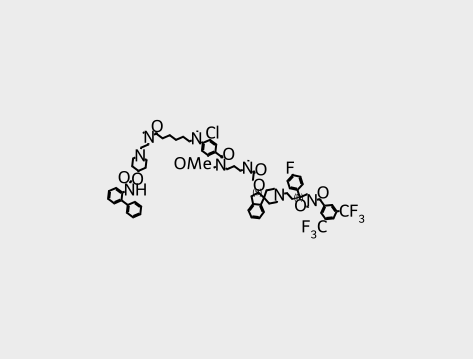 COc1cc(N(C)CCCCCC(=O)N(C)CCN2CCC(OC(=O)Nc3ccccc3-c3ccccc3)CC2)c(Cl)cc1C(=O)N(C)CCCN(C)C(=O)CO[C@H]1Cc2ccccc2C12CCN(CC[C@@]1(c3ccc(F)cc3)CN(C(=O)c3cc(C(F)(F)F)cc(C(F)(F)F)c3)CO1)CC2